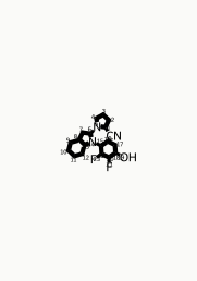 N#Cc1cccn1-c1cc2ccccc2n1-c1ccc(O)c(F)c1F